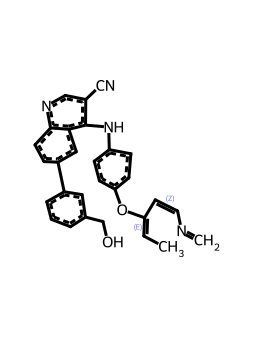 C=N/C=C\C(=C/C)Oc1ccc(Nc2c(C#N)cnc3ccc(-c4cccc(CO)c4)cc23)cc1